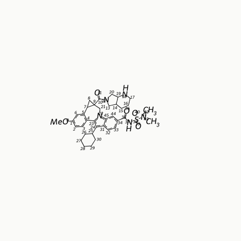 COc1ccc2c(c1)C1CC1(C(=O)N1CC3CCCNC3C1)Cn1c-2c(C2CCCCC2)c2ccc(C(=O)NS(=O)(=O)N(C)C)cc21